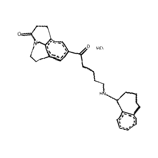 Cl.O=C(CCCCNC1CCCc2ccccc21)c1cc2c3c(c1)CCN3C(=O)CC2